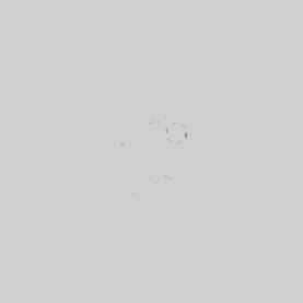 Cl.O=C(OCc1cccc([N+](=O)[O-])c1F)N1CCNCC1